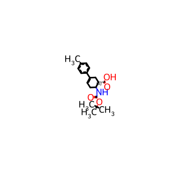 Cc1ccc(C2=CCC(NC(=O)OC(C)(C)C)[C@@H](C(=O)O)C2)cc1